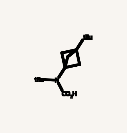 CC(C)(C)N(C(=O)O)C12CC(C(C)(C)C)(C1)C2